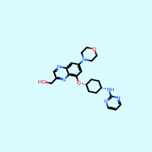 OCc1cnc2cc(N3CCOCC3)cc(O[C@H]3CC[C@@H](Nc4ncccn4)CC3)c2n1